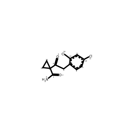 NC(=O)C1(C(=O)Cc2ccc(Cl)cc2Cl)CC1